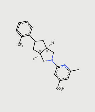 Cc1cc(C(=O)O)cc(N2C[C@H]3CC(c4ccccc4C(F)(F)F)C[C@H]3C2)n1